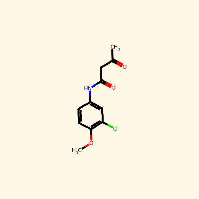 COc1ccc(NC(=O)CC(C)=O)cc1Cl